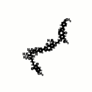 COc1ccc(C2=CN3C(=O)c4cc(OC)c(OCCCOc5cc6c(cc5OC)C(=O)N5C=C(c7ccc(NC(=O)[C@H](C)NC(=O)C(NC(=O)CCCCN8C(=O)C9C%10C=C(C)C(C%10)C9C8=O)C(C)C)cc7)CC5C=N6)cc4N=C[C@@H]3C2)cc1